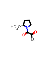 CCC(=O)C(=O)N1CCC[C@H]1C(=O)O